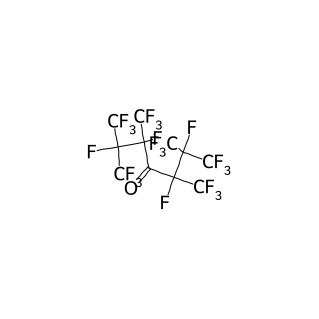 O=C(C(F)(C(F)(F)F)C(F)(C(F)(F)F)C(F)(F)F)C(F)(C(F)(F)F)C(F)(C(F)(F)F)C(F)(F)F